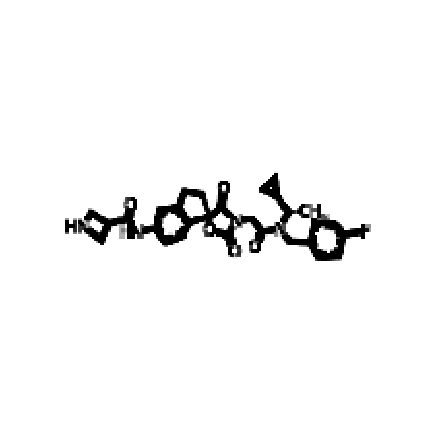 C[C@@H](C1CC1)N(Cc1ccc(F)cc1)C(=O)CN1C(=O)O[C@@]2(CCc3cc(NC(=O)C4CNC4)ccc32)C1=O